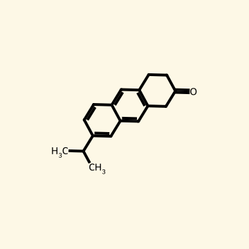 CC(C)c1ccc2cc3c(cc2c1)CC(=O)CC3